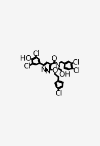 O=C(c1cc(-c2cc(Cl)c(O)c(Cl)c2)nnc1OCCc1ccc(Cl)cc1)N(CCO)Cc1ccc(Cl)c(Cl)c1